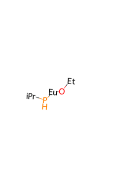 CC[O][Eu][PH]C(C)C